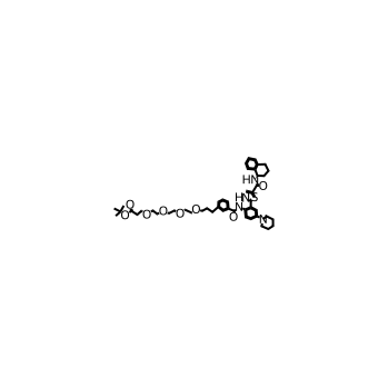 CC(C)(C)OC(=O)CCOCCOCCOCCOCCCc1cccc(C(=O)Nc2ccc(N3CCCCC3)cc2-c2ncc(C(=O)N[C@H]3CCCc4ccccc43)s2)c1